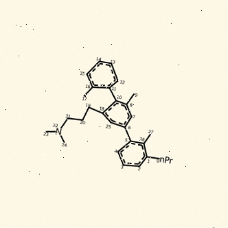 CCCc1cccc(-c2cc(C)c(-c3ccccc3C)c(CCCN(C)C)c2)c1C